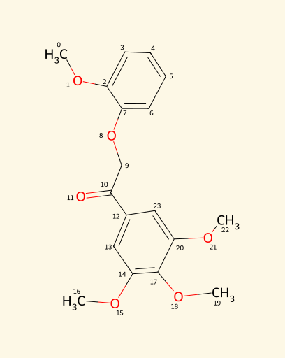 COc1ccccc1OCC(=O)c1cc(OC)c(OC)c(OC)c1